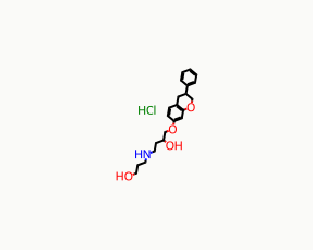 Cl.OCCCNCCC(O)COc1ccc2c(c1)OCC(c1ccccc1)C2